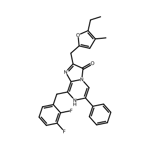 CCc1oc(Cc2nc3c(Cc4cccc(F)c4F)[nH]c(-c4ccccc4)cn-3c2=O)cc1C